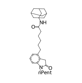 CCCCCN1C(=O)Cc2c(CCCCCC(=O)NC34CC5CC(CC(C5)C3)C4)cccc21